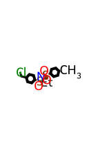 CCS(=O)(=NS(=O)(=O)c1ccc(C)cc1)c1ccc(CCl)cc1